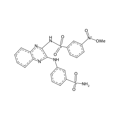 CO[N+](=O)c1cccc(S(=O)(=O)Nc2nc3ccccc3nc2Nc2cccc(S(N)(=O)=O)c2)c1